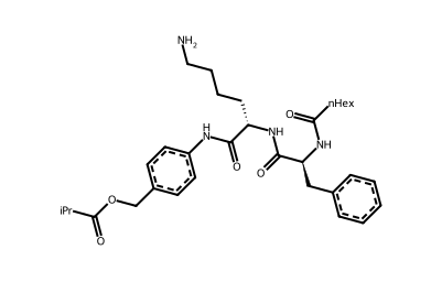 CCCCCCC(=O)N[C@@H](Cc1ccccc1)C(=O)N[C@@H](CCCCN)C(=O)Nc1ccc(COC(=O)C(C)C)cc1